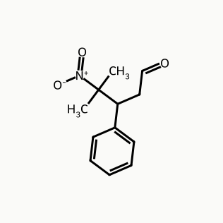 CC(C)(C(CC=O)c1ccccc1)[N+](=O)[O-]